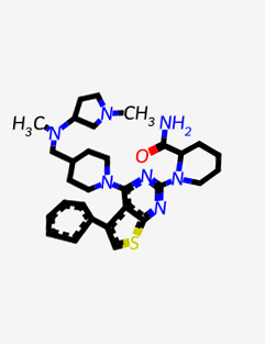 CN1CCC(N(C)CC2CCN(c3nc(N4CCCCC4C(N)=O)nc4scc(-c5ccccc5)c34)CC2)C1